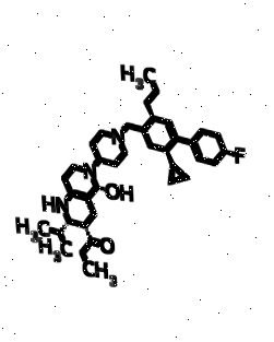 CCC[C@H]1C=C(C2=CC[C@H](F)CC2)[C@@H](C2CC2)CC1CN1CCC(N2CCC3=C(C[C@H](C(=O)CC)[C@H](C(C)C)N3)[C@H]2O)CC1